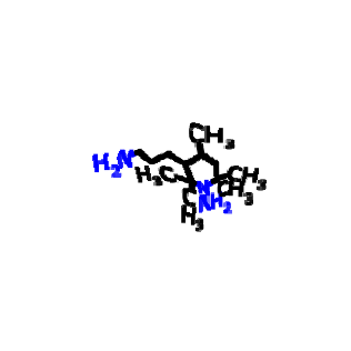 CC1CC(C)(C)N(N)C(C)(C)C1CCCN